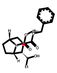 CCC(O)[C@@H]1[C@@H]2CC[C@H](CN1C(=O)OCc1ccccc1)N2C(=O)OC(C)(C)C